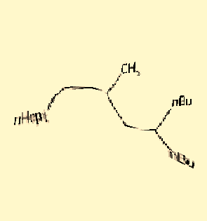 CCCCCCCCC(C)CC(CCCC)CCCC